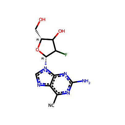 N#Cc1nc(N)nc2c1ncn2[C@@H]1O[C@H](CO)C(O)C1F